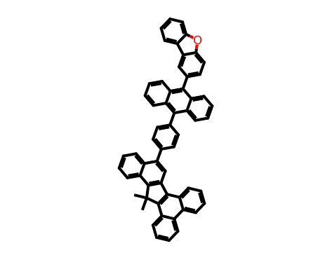 CC1(C)c2c(cc(-c3ccc(-c4c5ccccc5c(-c5ccc6oc7ccccc7c6c5)c5ccccc45)cc3)c3ccccc23)-c2c1c1ccccc1c1ccccc21